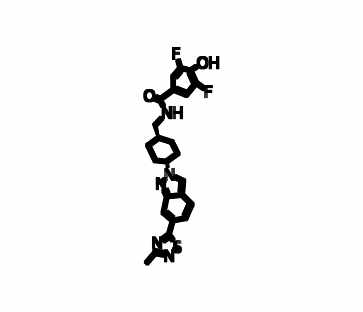 Cc1nsc(-c2ccc3cn([C@H]4CC[C@H](CNC(=O)c5cc(F)c(O)c(F)c5)CC4)nc3c2)n1